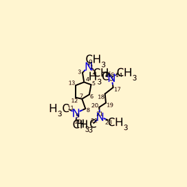 CN(C)CC1CCC(CN(C)C)CC1.CN(C)CCCCN(C)C